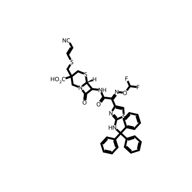 N#CC=CSCC1(C(=O)O)CS[C@@H]2C(NC(=O)C(=NOC(F)F)c3csc(NC(c4ccccc4)(c4ccccc4)c4ccccc4)n3)C(=O)N2C1